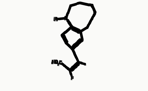 C/C(=C(\F)C(=O)O)c1ccc2c(c1)CCCCCN2C(C)C